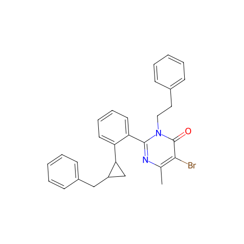 Cc1nc(-c2ccccc2C2CC2Cc2ccccc2)n(CCc2ccccc2)c(=O)c1Br